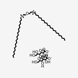 CCCCCCCCCCCCCCCCCCCCCC[N+](C)(C)CCOCC[N+](C)(C)CCCCCCCCCCCCCCCCCCCCCC.O=C([O-])[C@H](O)[C@@H](O)[C@H](O)[C@H](O)CO.O=C([O-])[C@H](O)[C@@H](O)[C@H](O)[C@H](O)CO